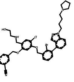 N#Cc1cncc(COc2cc(OCc3cccc(-c4cccc5c4cnn5CCCCN4CCCC4)c3Br)c(Cl)cc2CNCCO)c1